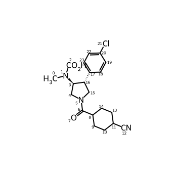 CN(C(=O)O)[C@@H]1CN(C(=O)C2CCC(C#N)CC2)C[C@H]1c1ccc(Cl)cc1